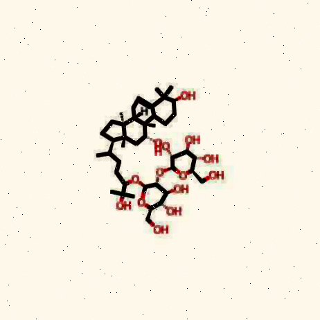 CC(CCC(O[C@@H]1O[C@H](CO)[C@@H](O)[C@H](O)[C@H]1O[C@@H]1O[C@H](CO)[C@@H](O)[C@H](O)[C@H]1O)C(C)(C)O)[C@H]1CC[C@@]2(C)[C@@H]3CC=C4C(CC[C@H](O)C4(C)C)[C@]3(C)[C@H](O)C[C@]12C